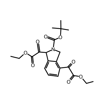 CCOC(=O)C(=O)c1cccc2c1CN(C(=O)OC(C)(C)C)C2C(=O)C(=O)OCC